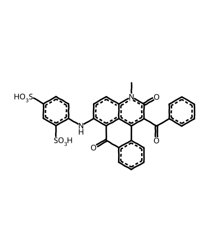 Cn1c(=O)c(C(=O)c2ccccc2)c2c3c(c(Nc4ccc(S(=O)(=O)O)cc4S(=O)(=O)O)ccc31)C(=O)c1ccccc1-2